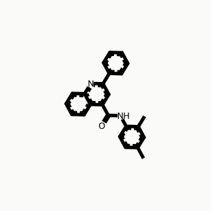 Cc1ccc(NC(=O)c2cc(-c3ccccc3)nc3ccccc23)c(C)c1